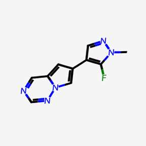 Cn1ncc(-c2cc3cncnn3c2)c1F